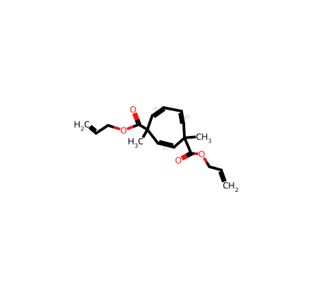 C=CCOC(=O)C1(C)/C=C\C=C/C(C)(C(=O)OCC=C)/C=C\1